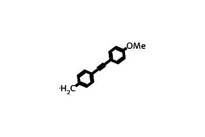 [CH2]c1ccc(C#Cc2ccc(OC)cc2)cc1